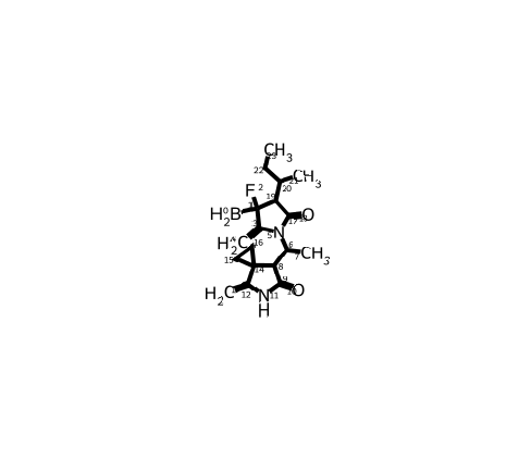 BC1(F)C(=C)N(C(C)C2C(=O)NC(=C)C23CC3)C(=O)C1C(C)CC